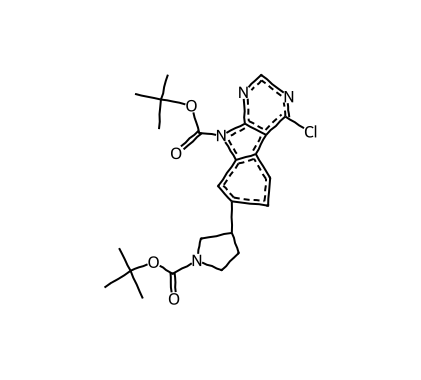 CC(C)(C)OC(=O)N1CCC(c2ccc3c4c(Cl)ncnc4n(C(=O)OC(C)(C)C)c3c2)C1